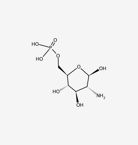 N[C@@H]1[C@@H](O)[C@H](O)[C@@H](COP(=O)(O)O)O[C@H]1O